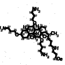 CCCCCCCCCCCCNCCC[C@@H](C)[C@H]1CC[C@H]2[C@@H]3[C@H](OCCCN)C[C@@H]4C[C@H](OCCCN)CC[C@]4(C)[C@H]3C[C@H](OCCCN)[C@]12C